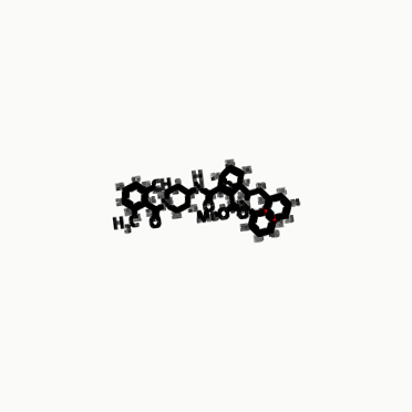 COC(=O)C1=C(C(=O)NC2CCN(C(=O)c3c(C)cccc3C)CC2)C2C=CC1(C(Cc1ccccc1)Nc1ccccc1)O2